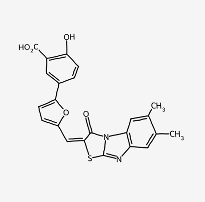 Cc1cc2nc3sc(=Cc4ccc(-c5ccc(O)c(C(=O)O)c5)o4)c(=O)n3c2cc1C